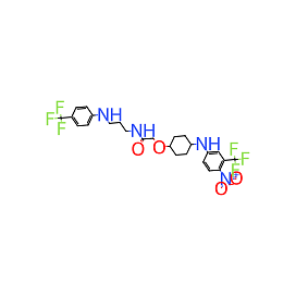 O=C(COC1CCC(Nc2ccc([N+](=O)[O-])c(C(F)(F)F)c2)CC1)NCCCNc1ccc(C(F)(F)F)cc1